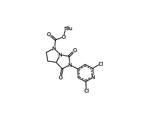 CC(C)(C)OC(=O)N1CCC2C(=O)N(c3cc(Cl)nc(Cl)c3)C(=O)N21